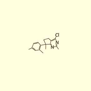 Cc1ccc(C2(C)CCc3c(Cl)nc(C)nc32)c(C)c1